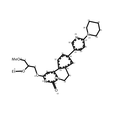 CCOC(COC)COc1cc2n(c(=O)n1)CCc1cc(-c3ccc(N4CCCCC4)nc3)ccc1-2